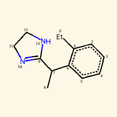 CCc1ccccc1C(C)C1=NCCN1